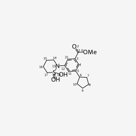 COC(=O)c1cc(C2CCCC2)cc(N2CCCCS2(O)O)c1